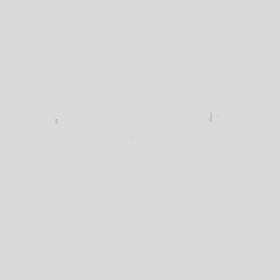 CCCOCCC(=O)CC(=O)OCCC